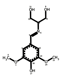 COc1cc(C=NC(CO)CO)cc(OC)c1O